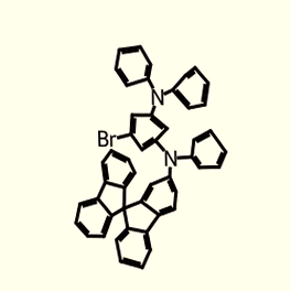 Brc1cc(N(c2ccccc2)c2ccccc2)cc(N(c2ccccc2)c2ccc3c(c2)C2(c4ccccc4-c4ccccc42)c2ccccc2-3)c1